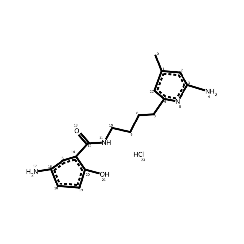 Cc1cc(N)nc(CCCCNC(=O)c2cc(N)ccc2O)c1.Cl